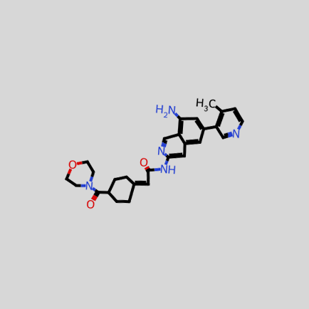 Cc1ccncc1-c1cc(N)c2cnc(NC(=O)C=C3CCC(C(=O)N4CCOCC4)CC3)cc2c1